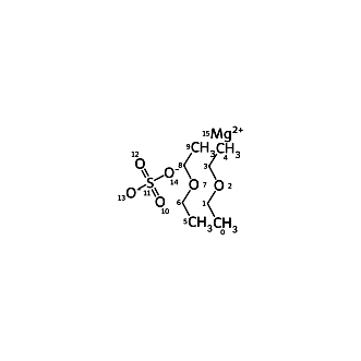 CCOCC.CCOCC.O=S(=O)([O-])[O-].[Mg+2]